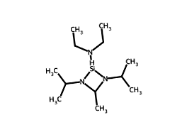 CCN(CC)[SiH]1N(C(C)C)C(C)N1C(C)C